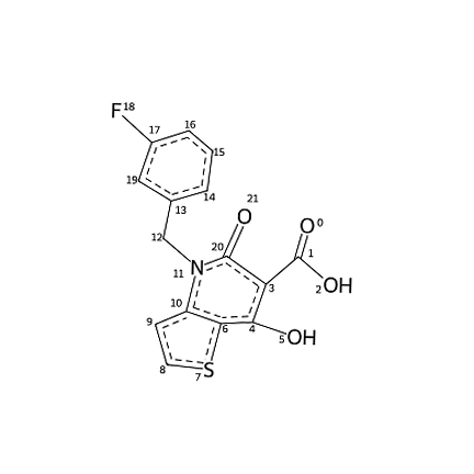 O=C(O)c1c(O)c2sccc2n(Cc2cccc(F)c2)c1=O